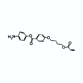 C=CC(=O)OCCCCOc1ccc(C(=O)Oc2ccc(N)cc2)cc1